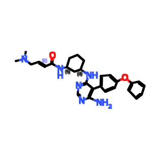 CN(C)C/C=C/C(=O)N[C@H]1CCC[C@@H](Nc2ncnc(N)c2-c2ccc(Oc3ccccc3)cc2)C1